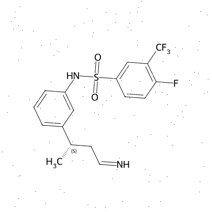 C[C@@H](CC=N)c1cccc(NS(=O)(=O)c2ccc(F)c(C(F)(F)F)c2)c1